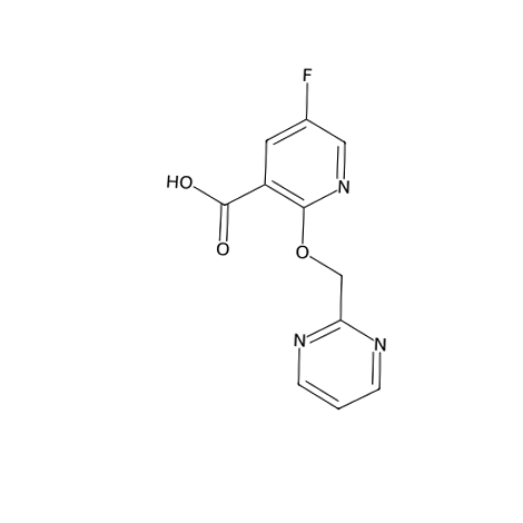 O=C(O)c1cc(F)cnc1OCc1ncccn1